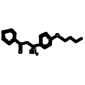 CCCCOc1ccc([C@H](N)CC(=O)c2ccccc2)cc1